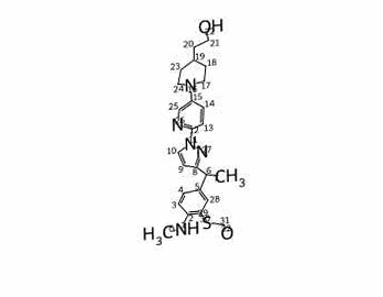 CNc1ccc(C(C)c2ccn(-c3ccc(N4CCC(CCO)CC4)cn3)n2)cc1SC=O